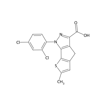 Cc1cc2c(s1)-c1c(c(C(=O)O)nn1-c1ccc(Cl)cc1Cl)C2